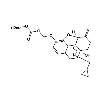 C=C1CC[C@@]2(O)C3CC4C=CC(OCOC(=O)OCCCCCCCCCC)=C5O[C@@H]1[C@]2(CCN3CC1CC1)C54